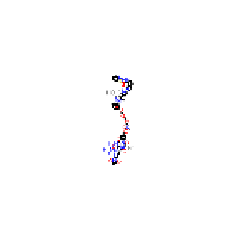 Cc1c(-c2ccc(N3CCc4cccc(C(=O)Nc5nc6ccccc6s5)c4C3)nc2C(=O)O)cnn1CC12CC3CC(C1)CC(OCCOCCOCCN(C)C(=O)OCc1ccc(N(C(=O)[C@@H](NC(=O)CCCCCN4C(=O)C=CC4=O)C(C)C)[C@@H](CCCNC(N)=O)C(N)=O)cc1)(C3)C2